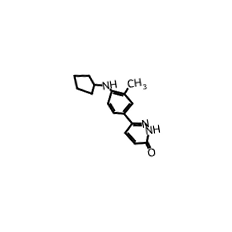 Cc1cc(-c2ccc(=O)[nH]n2)ccc1NC1CCCC1